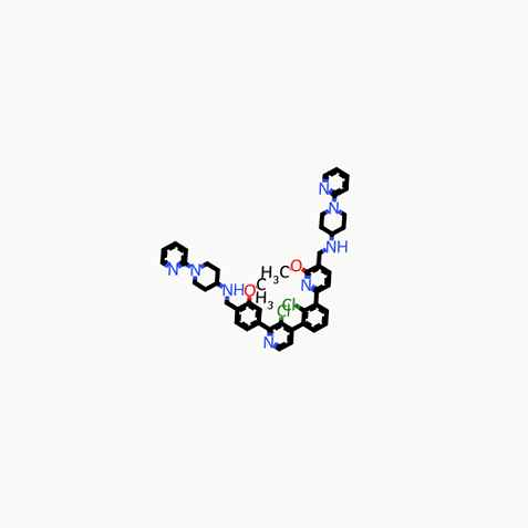 COc1cc(-c2nccc(-c3cccc(-c4ccc(CNC5CCN(c6ccccn6)CC5)c(OC)n4)c3Cl)c2Cl)ccc1CNC1CCN(c2ccccn2)CC1